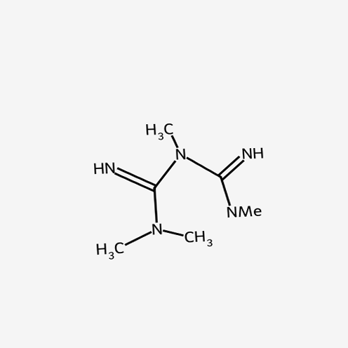 CNC(=N)N(C)C(=N)N(C)C